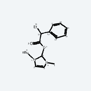 CCCCN1C=CN(C)C1OC(=O)C(CC)c1ccccc1